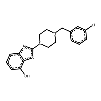 Oc1cccc2nc(N3CCN(Cc4cccc(Cl)c4)CC3)sc12